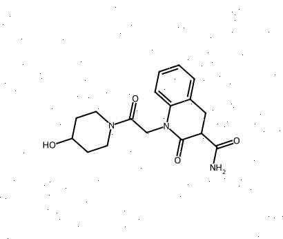 NC(=O)C1Cc2ccccc2N(CC(=O)N2CCC(O)CC2)C1=O